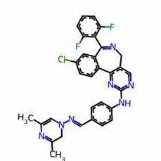 CC1=CN(N=Cc2ccc(Nc3ncc4c(n3)-c3ccc(Cl)cc3C(c3c(F)cccc3F)=NC4)cc2)CC(C)=N1